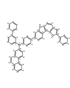 c1ccc(-c2cccc(N(c3ccc(-c4ccc5c(c4)oc4ccc6nc(-c7ccccc7)oc6c45)cc3)c3ccc4c(ccc5ccccc54)c3)c2)cc1